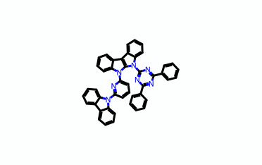 c1ccc(-c2nc(-c3ccccc3)nc(-n3c4ccccc4c4c5ccccc5n(-c5cccc(-n6c7ccccc7c7ccccc76)n5)c43)n2)cc1